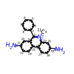 [11CH3][n+]1c(-c2ccccc2)c2cc(N)ccc2c2ccc(N)cc21